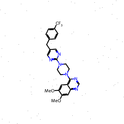 COc1cc2ncnc(N3CCN(c4ncc(Cc5ccc(C(F)(F)F)cc5)cn4)CC3)c2cc1OC